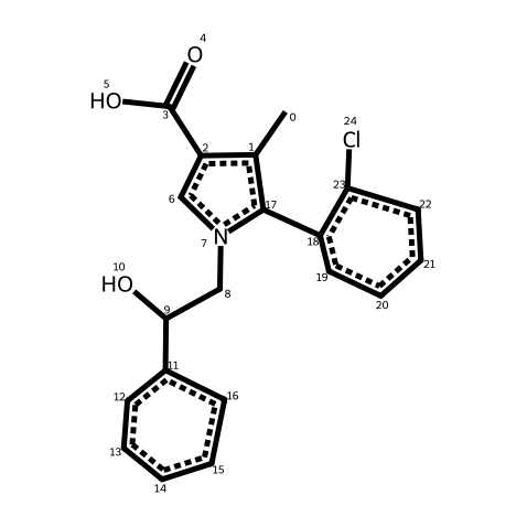 Cc1c(C(=O)O)cn(CC(O)c2ccccc2)c1-c1ccccc1Cl